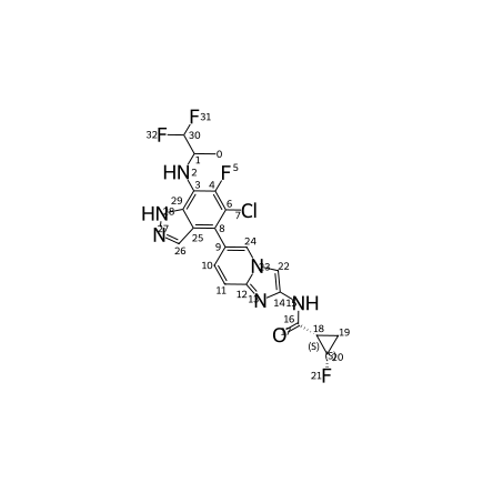 CC(Nc1c(F)c(Cl)c(-c2ccc3nc(NC(=O)[C@@H]4C[C@@H]4F)cn3c2)c2cn[nH]c12)C(F)F